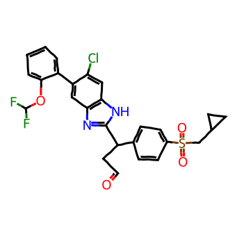 O=CCC(c1ccc(S(=O)(=O)CC2CC2)cc1)c1nc2cc(-c3ccccc3OC(F)F)c(Cl)cc2[nH]1